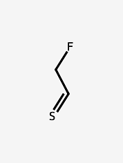 FCC=S